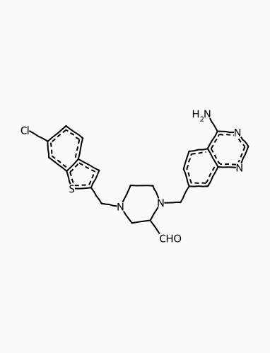 Nc1ncnc2cc(CN3CCN(Cc4cc5ccc(Cl)cc5s4)CC3C=O)ccc12